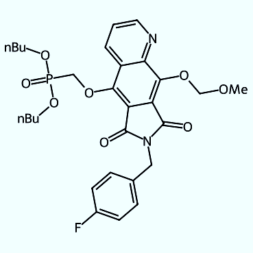 CCCCOP(=O)(COc1c2c(c(OCOC)c3ncccc13)C(=O)N(Cc1ccc(F)cc1)C2=O)OCCCC